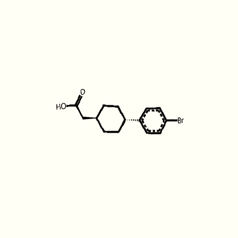 O=C(O)C[C@H]1CC[C@H](c2ccc(Br)cc2)CC1